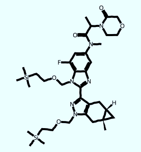 CC(C(=O)N(C)c1cc(F)c2c(c1)nc(-c1nn(COCC[Si](C)(C)C)c3c1C[C@@H]1C[C@]1(C)C3)n2COCC[Si](C)(C)C)N1CCOCC1=O